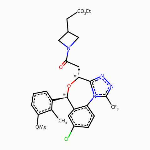 CCOC(=O)CC1CN(C(=O)C[C@H]2O[C@H](c3cccc(OC)c3C)c3cc(Cl)ccc3-n3c2nnc3C(F)(F)F)C1